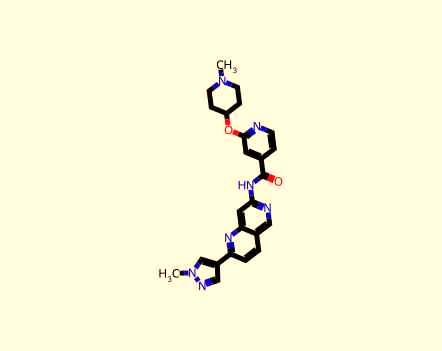 CN1CCC(Oc2cc(C(=O)Nc3cc4nc(-c5cnn(C)c5)ccc4cn3)ccn2)CC1